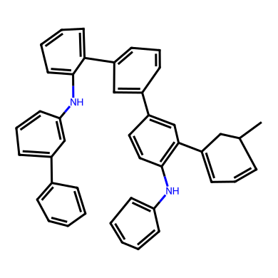 CC1C=CC=C(c2cc(-c3cccc(-c4ccccc4Nc4cccc(-c5ccccc5)c4)c3)ccc2Nc2ccccc2)C1